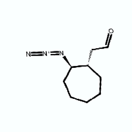 [N-]=[N+]=N[C@@H]1CCCCC[C@H]1CC=O